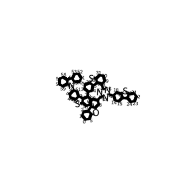 c1ccc2c(c1)oc1cc(-c3nc(-c4ccc5c(c4)sc4ccccc45)nc(-c4cccc5sc6ccc(-c7cccc8sc9ccc(-n%10c%11ccccc%11c%11ccccc%11%10)cc9c78)cc6c45)n3)ccc12